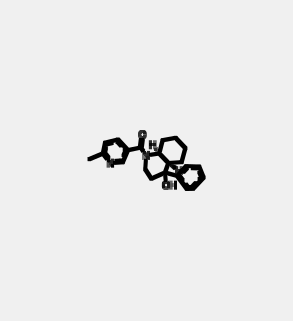 Cc1ccc(C(=O)N2CCC(O)(c3ccccc3)[C@H]3CCCC[C@@H]32)cn1